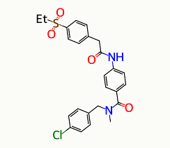 CCS(=O)(=O)c1ccc(CC(=O)Nc2ccc(C(=O)N(C)Cc3ccc(Cl)cc3)cc2)cc1